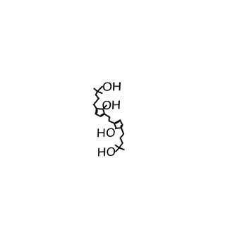 CC(C)(CO)CCCC1=CC=C(CCC2=CC=C(CCCC(C)(C)CO)C2O)C1O